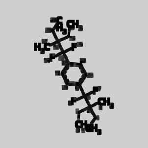 CCC(C)(CC)C(F)(F)c1ccc(C(F)(F)C(C)(CC)CC)cc1